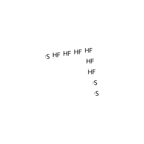 F.F.F.F.F.F.[S].[S].[S]